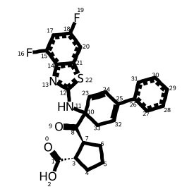 O=C(O)[C@H]1CCC[C@@H]1C(=O)C1(Nc2nc3c(F)cc(F)cc3s2)C=CC(c2ccccc2)=CC1